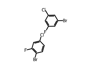 Fc1cc(Cl)cc(Br)c1.Fc1cc(Cl)ccc1Br